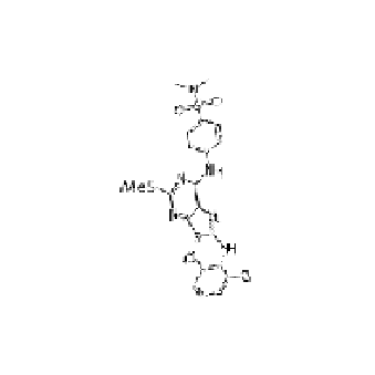 CSc1nc(Nc2ccc(S(=O)(=O)N(C)C)cc2)c2nc(Nc3c(Cl)cccc3Cl)sc2n1